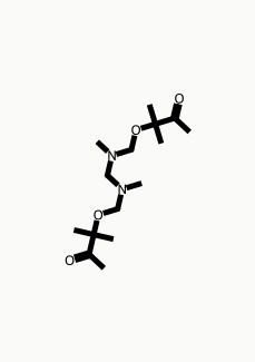 CC(=O)C(C)(C)OCN(C)CN(C)COC(C)(C)C(C)=O